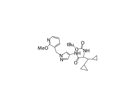 COc1ncccc1Cn1cc(NC(=O)C(NC(=O)OC(C)(C)C)C(C2CC2)C2CC2)cn1